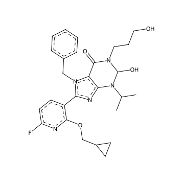 CC(C)N1c2nc(-c3ccc(F)nc3OCC3CC3)n(Cc3ccccc3)c2C(=O)N(CCCO)C1O